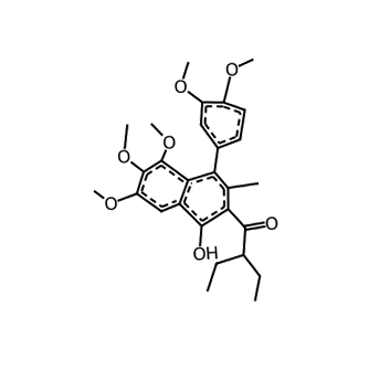 CCC(CC)C(=O)c1c(C)c(-c2ccc(OC)c(OC)c2)c2c(OC)c(OC)c(OC)cc2c1O